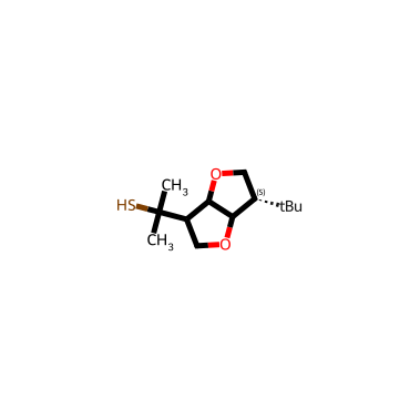 CC(C)(S)C1COC2C1OC[C@@H]2C(C)(C)C